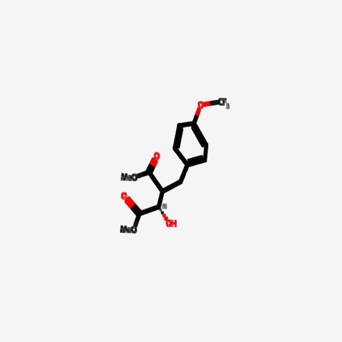 COC(=O)C(Cc1ccc(OC(F)(F)F)cc1)[C@H](O)C(=O)OC